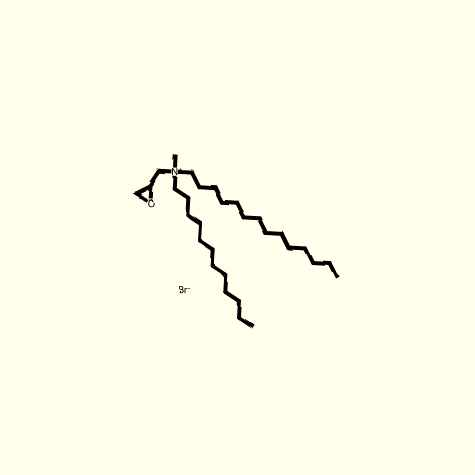 CCCCCCCCCCCCCC[N+](C)(CCCCCCCCCCCC)CC1CO1.[Br-]